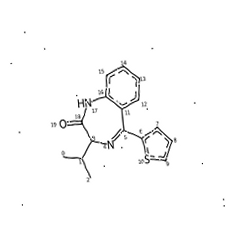 CC(C)C1N=C(c2cccs2)c2ccccc2NC1=O